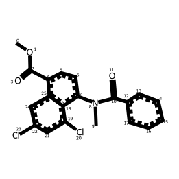 COC(=O)c1ccc(N(C)C(=O)c2ccccc2)c2c(Cl)cc(Cl)cc12